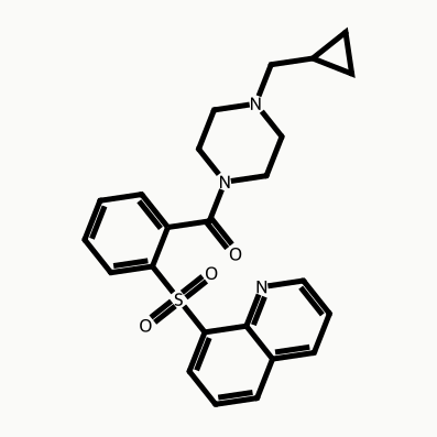 O=C(c1ccccc1S(=O)(=O)c1cccc2cccnc12)N1CCN(CC2CC2)CC1